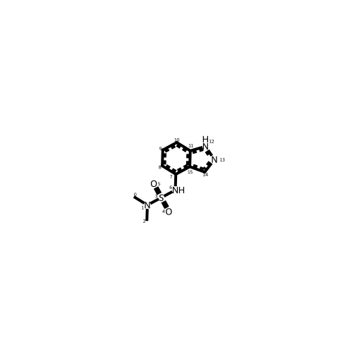 CN(C)S(=O)(=O)Nc1cccc2[nH]ncc12